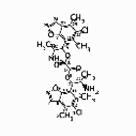 Cc1c(Cl)c(C)c2ccoc2c1C(OC(=O)C(=O)OC(c1c(C)c(Cl)c(C)c2ccoc12)C(C)N)C(C)N